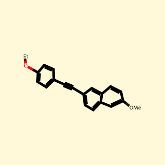 CCOc1ccc(C#Cc2ccc3cc(OC)ccc3c2)cc1